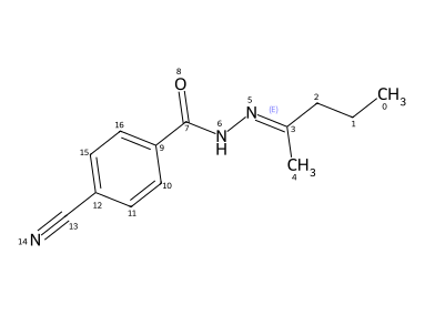 CCC/C(C)=N/NC(=O)c1ccc(C#N)cc1